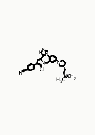 CN(C)CC[C@@H]1CCN(c2ccc3c(c2)Cn2c(cc(-c4ccc(C#N)cc4)c2Cl)-c2nncn2-3)C1